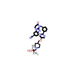 CC(C)(O)CN1CCC(COc2cnc(-c3cccc(Cn4c(=O)ccn5c6cc(C#N)ccc6nc45)c3)nc2)CC1